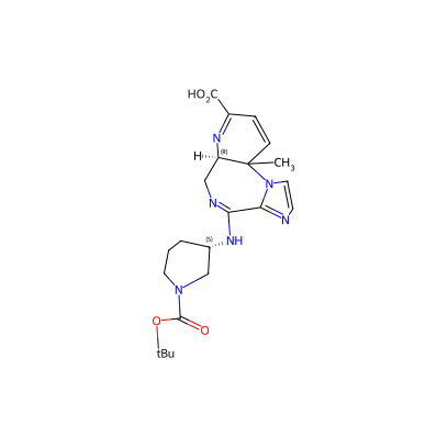 CC(C)(C)OC(=O)N1CCC[C@H](NC2=NC[C@H]3N=C(C(=O)O)C=CC3(C)n3ccnc32)C1